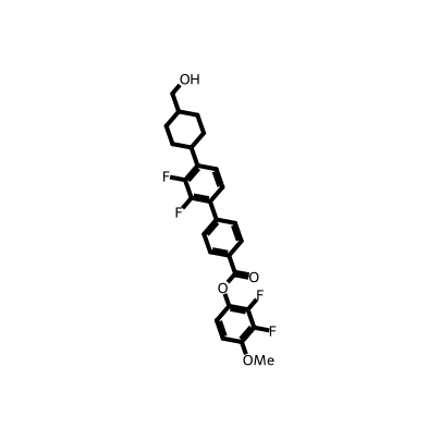 COc1ccc(OC(=O)c2ccc(-c3ccc(C4CCC(CO)CC4)c(F)c3F)cc2)c(F)c1F